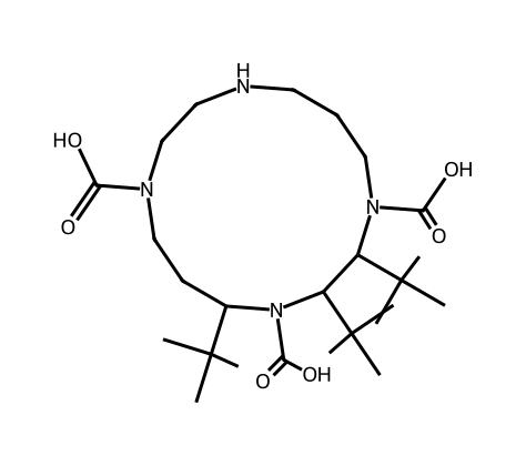 CC(C)(C)C1C(C(C)(C)C)N(C(=O)O)C(C(C)(C)C)CCN(C(=O)O)CCNCCCN1C(=O)O